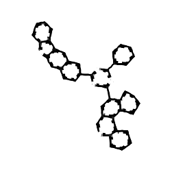 c1ccc(-c2nc(-c3ccc4cc5oc6ccccc6c5cc4c3)nc(-c3cc4cnc5ccccc5c4c4ccccc34)n2)cc1